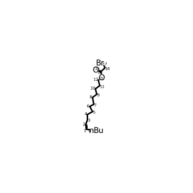 CCCC/C=C\CCCCCCCCCCOC(=O)CBr